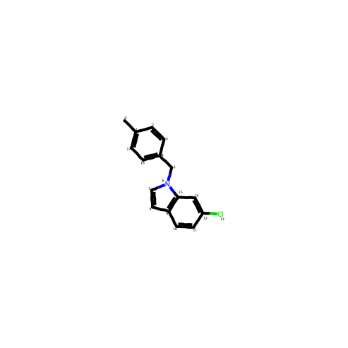 Cc1ccc(Cn2ccc3ccc(Cl)cc32)cc1